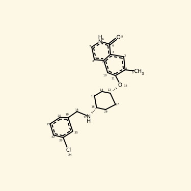 Cc1cc2c(=O)[nH]ccc2cc1O[C@H]1CC[C@@H](NCc2cccc(Cl)c2)CC1